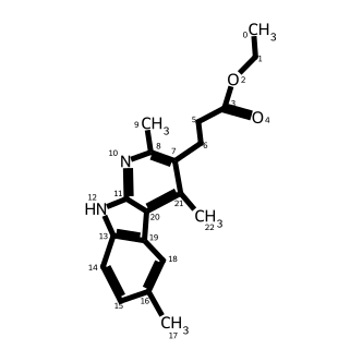 CCOC(=O)CCc1c(C)nc2[nH]c3ccc(C)cc3c2c1C